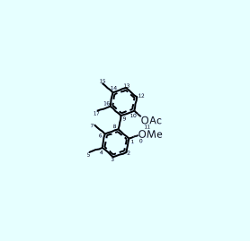 COc1ccc(C)c(C)c1-c1c(OC(C)=O)ccc(C)c1C